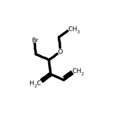 C=CC(=C)C(CBr)OCC